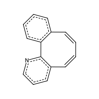 C1=Cc2ccccc2-c2ncccc2C=C1